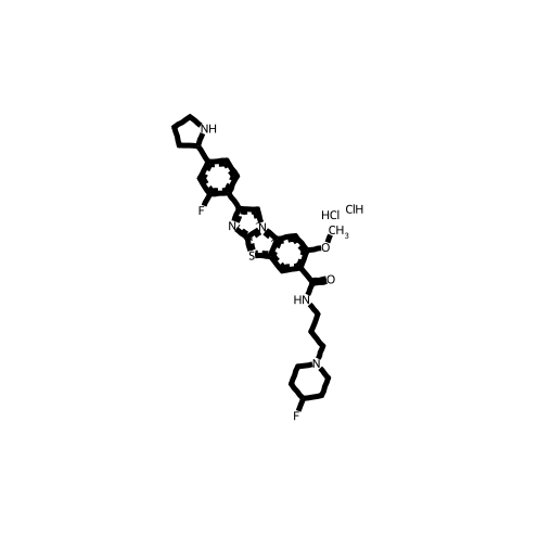 COc1cc2c(cc1C(=O)NCCCN1CCC(F)CC1)sc1nc(-c3ccc(C4CCCN4)cc3F)cn12.Cl.Cl